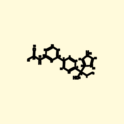 CCC(O)(c1ccc(-c2cccc(NC(C)=O)c2)cc1)c1c[nH]cn1